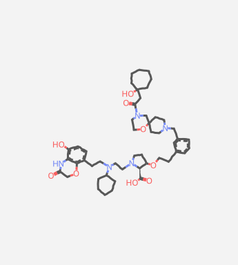 O=C1COc2c(CCN(CCN3CCC(OCCc4cccc(CN5CCC6(CC5)CN(C(=O)CC5(O)CCCCCC5)CCO6)c4)[C@H]3C(=O)O)C3CCCCC3)ccc(O)c2N1